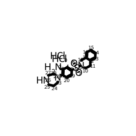 Cl.Cl.Nc1cc(S(=O)(=O)N2CCc3ccccc3C2)ccc1N1CCCNCC1